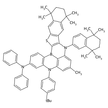 Cc1cc2c3c(c1)N(c1ccc4c(c1)C(C)(C)CCC4(C)C)c1c(sc4cc5c(cc14)C(C)(C)CCC5(C)C)B3c1ccc(N(c3ccccc3)c3ccccc3)cc1N2c1ccc(C(C)(C)C)cc1